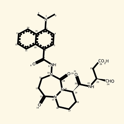 CN(C)c1ccc(C(=O)NN2CCC(=O)N3CCC[C@@H](C(=O)N[C@H](C=O)CC(=O)O)N3C2=O)c2ccccc12